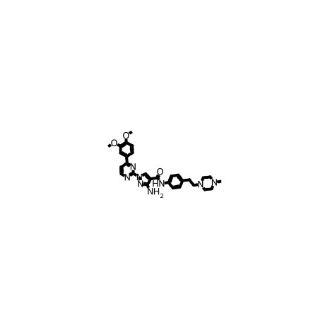 COc1ccc(-c2ccnc(-n3cc(C(=O)Nc4ccc(CCN5CCN(C)CC5)cc4)c(N)n3)n2)cc1OC